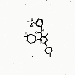 Cc1nc(N2CCNCC2)nc(N2CCCC(F)(F)CC2)c1C(=O)Nc1cccc([S@](C)(=N)=O)c1